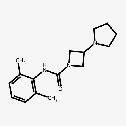 Cc1cccc(C)c1NC(=O)N1CC(N2CCCC2)C1